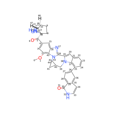 COc1cc(C(=O)[C@]23CC[C@H](CN2)[C@H]3N)cc2nc(-c3cc4cccc(-c5ccc6c(=O)[nH]ccc6c5)c4n3CC3CC3)n(C)c12